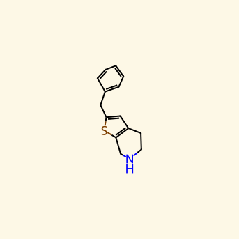 c1ccc(Cc2cc3c(s2)CNCC3)cc1